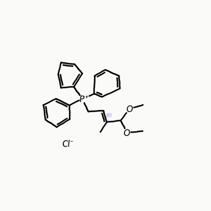 COC(OC)/C(C)=C/C[P+](c1ccccc1)(c1ccccc1)c1ccccc1.[Cl-]